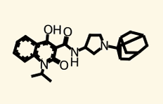 CC(C)n1c(=O)c(C(=O)NC2CCN(C3C4CC5CC(C4)CC3C5)C2)c(O)c2ccccc21